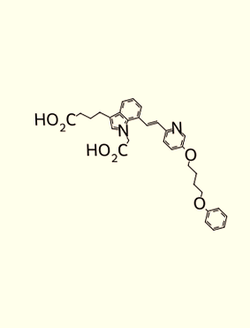 O=C(O)CCCc1cn(CC(=O)O)c2c(/C=C/c3ccc(OCCCCOc4ccccc4)cn3)cccc12